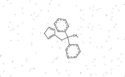 CC(CC1=CCC=C1)(c1ccccc1)c1ccccc1